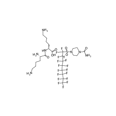 NC(=O)N1CCN(S(=O)(=O)C(F)(F)C(F)(F)C(F)(F)C(F)(F)C(F)(F)C(F)(F)C(F)(F)C(F)(F)F)CC1.NCCCC[C@H](NC(=O)[C@@H](N)CCCCN)C(=O)O